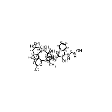 CCC(=O)O[C@H]1C(=O)[C@@]2(C)[C@H]([C@H](C)[C@]3(O)C[C@H](OC(=O)[C@H](O)[C@@H](BCNO)c4ccccc4)C(C)=C1C3(C)C)[C@]1(C)CO[C@@H]1C[C@@H]2O